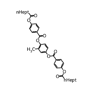 CCCCCCCC(=O)Oc1ccc(C(=O)Oc2ccc(OC(=O)c3ccc(OC(=O)CCCCCCC)cc3)c(C)c2)cc1